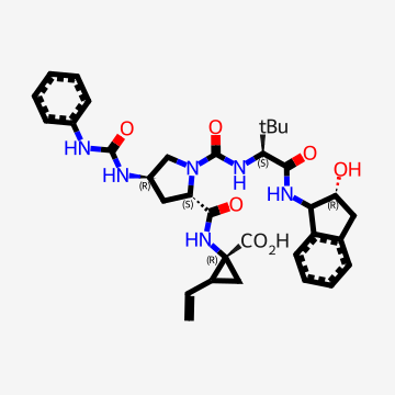 C=CC1C[C@]1(NC(=O)[C@@H]1C[C@@H](NC(=O)Nc2ccccc2)CN1C(=O)N[C@H](C(=O)NC1c2ccccc2C[C@H]1O)C(C)(C)C)C(=O)O